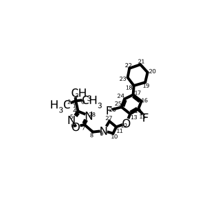 CC(C)(C)c1noc(CN2CC(Oc3c(F)cc(C4CCCCC4)cc3F)C2)n1